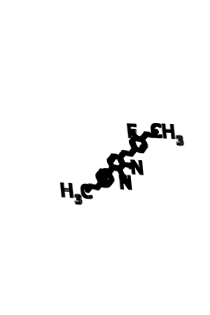 CCCc1ccc(CCc2ccc(C34CCC(CCC)(CC3)CC4)c(C#N)c2C#N)cc1F